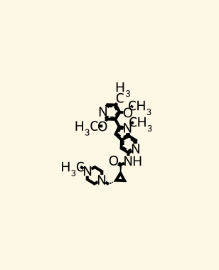 COc1ncc(C)c(OC)c1-c1cc2cc(NC(=O)[C@H]3C[C@@H]3CN3CCN(C)CC3)ncc2n1C